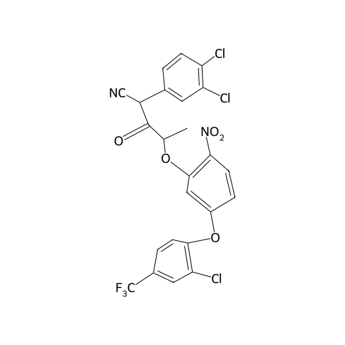 CC(Oc1cc(Oc2ccc(C(F)(F)F)cc2Cl)ccc1[N+](=O)[O-])C(=O)C(C#N)c1ccc(Cl)c(Cl)c1